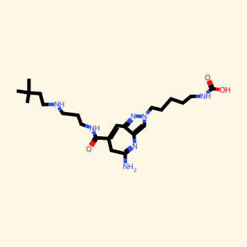 CC(C)(C)CCNCCCNC(=O)C1=Cc2nn(CCCCCNC(=O)O)cc2N=C(N)C1